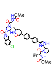 COC(=O)NCC(=O)N1CN(C(=O)N2Cc3ccc(Cl)cc3C2)C[C@H]1CC1CCC(c2ccc(-c3ccc(-c4c[nH]c(C5CCCN5C(=O)C(NC(=O)OC)C(C)C)n4)cc3)cc2)=CON1